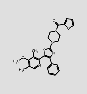 COc1c(C)cnc(-c2sc(N3CCN(C(=O)c4ccco4)CC3)nc2-c2ccccc2)c1C